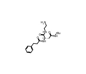 CC(C)(C)NC(=O)C[C@H](NC(=O)CCc1ccccc1)C(=O)NCCN